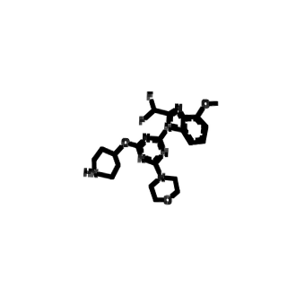 COc1cccc2c1nc(C(F)F)n2-c1nc(OC2CCNCC2)nc(N2CCOCC2)n1